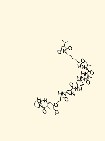 COc1cc2c(cc1OCCCC(=O)Nc1cc(C(=O)Nc3ccc(NC(=O)[C@H](C)NC(=O)[C@@H](NC(=O)CCCCCN4C(=O)CC(C(C)C)C4=O)C(C)C)cc3)n(C)c1)N=C[C@@H]1CCCCN1C2=O